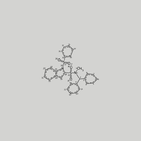 CN(C(c1ccccc1)c1ccccc1)S(=O)(=O)c1cc2ccccc2n1S(=O)(=O)c1ccccc1